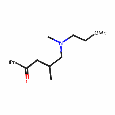 COCCN(C)CC(C)CC(=O)C(C)C